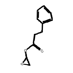 O=C(CCc1ccccc1)OC1CO1